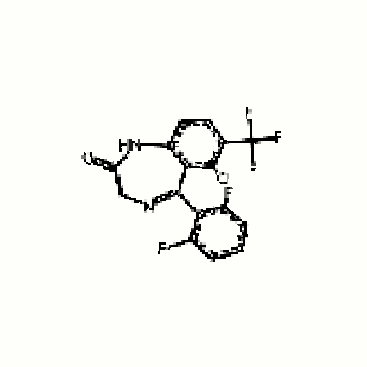 O=C1CN=C(c2c(F)cccc2F)c2c(ccc(C(F)(F)F)c2Cl)N1